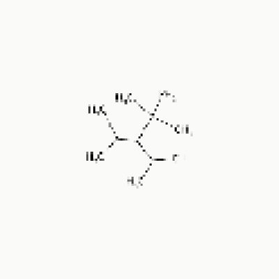 CC(C)C(C(C)C)C(C)(C)P